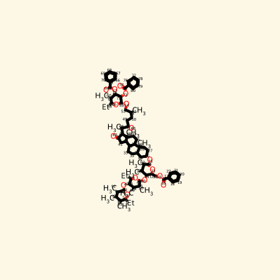 CCC1O[C@@H](O[C@@H]2C(CC)O[C@@H](O[C@@H]3C(COC(=O)c4ccccc4)O[C@@H](OC4CCC5(C)C(CCC6C5CCC5(C)C6CC(=O)C5[C@H](C)C(=O)CC[C@H](C)CO[C@@H]5OC(CC)[C@H](C)[C@H](OC(=O)c6ccccc6)C5OC(=O)c5ccccc5)C4)C(C)[C@H]3C)C(C)[C@H]2C)C(C)[C@@H](C)[C@@H]1C